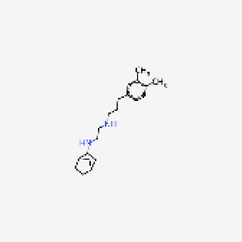 Cc1ccc(CCCNCCNC2CC3CCC2C3)cc1C